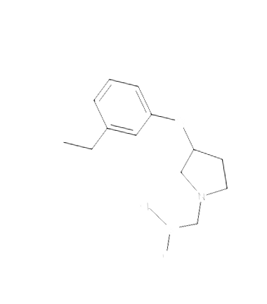 CCc1cccc(OC2CCN(C[S+]([O-])Cl)C2)c1